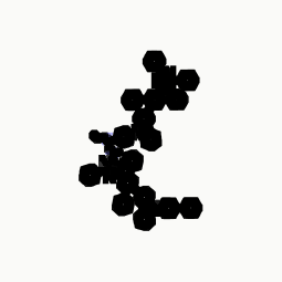 C=C/C=C(\C=C(/C)c1nc(-c2ccccc2)nc(-c2cc(-c3ccccc3)c(-c3ccc4c(c3)c3ccccc3n4-c3ccc(-c4ccccc4)cc3)cc2-c2ccccc2)n1)c1ccc(-n2c3ccccc3c3cc(-c4cc(-c5ccccc5)c(-c5nc(-c6ccccc6)nc(-c6ccccc6)n5)cc4-c4ccccc4)ccc32)cc1